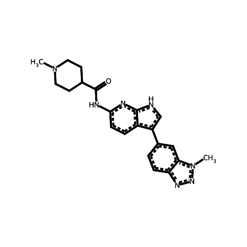 CN1CCC(C(=O)Nc2ccc3c(-c4ccc5nnn(C)c5c4)c[nH]c3n2)CC1